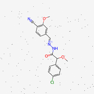 COc1cc(/C=N/NC(=O)C(OC)c2ccc(Cl)cc2)ccc1C#N